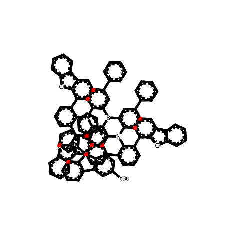 CC(C)(C)c1ccc2c(c1)-c1ccccc1C2(c1ccccc1)c1cc2c3c(c1)N(c1c(-c4cccc5c4oc4ccccc45)cccc1-c1cccc4c1oc1ccccc14)c1ccc(-c4ccccc4)cc1B3c1cc(-c3ccccc3)ccc1N2c1c(-c2cccc3c2oc2ccccc23)cccc1-c1cccc2c1oc1ccccc12